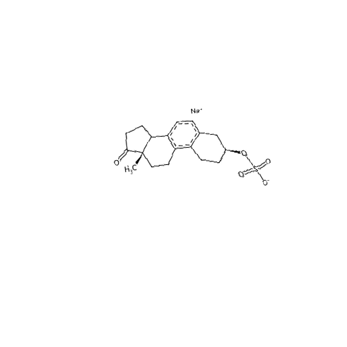 C[C@]12CCc3c(ccc4c3CC[C@H](OS(=O)(=O)[O-])C4)C1CCC2=O.[Na+]